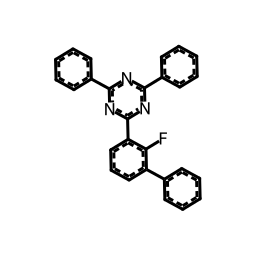 Fc1c(-c2ccccc2)cccc1-c1nc(-c2ccccc2)nc(-c2ccccc2)n1